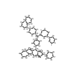 c1ccc(-c2cccc(N(c3ccc(-c4cccc5ccccc45)cc3)c3ccc(-c4c5oc(-c6ccccc6)nc5cc5c4oc4ccccc45)cc3)c2)cc1